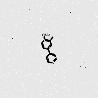 [CH2]c1cc(-c2ccncc2)ccc1OC